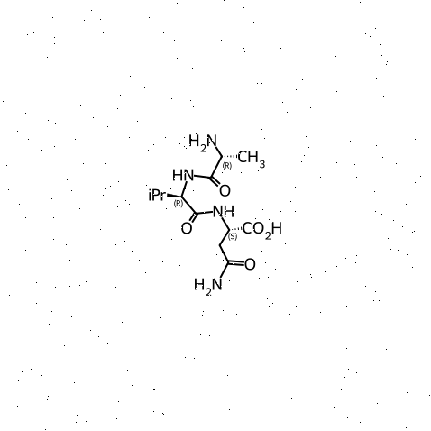 CC(C)[C@@H](NC(=O)[C@@H](C)N)C(=O)N[C@@H](CC(N)=O)C(=O)O